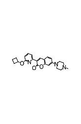 CN1CCN(c2ccc3cc(-c4cccc(OC5CCC5)n4)c(=O)oc3c2)CC1